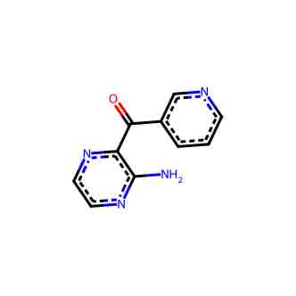 Nc1nccnc1C(=O)c1cccnc1